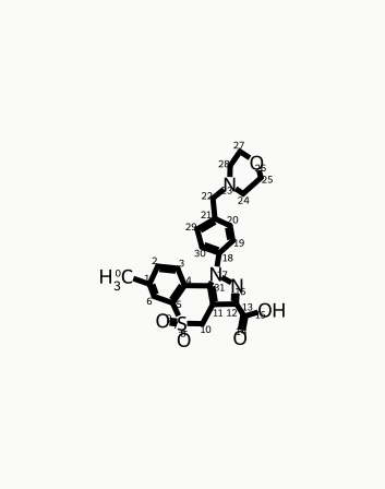 Cc1ccc2c(c1)S(=O)(=O)Cc1c(C(=O)O)nn(-c3ccc(CN4CCOCC4)cc3)c1-2